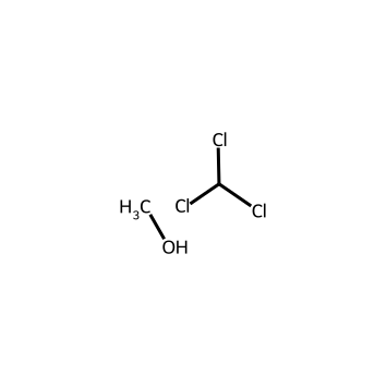 CO.ClC(Cl)Cl